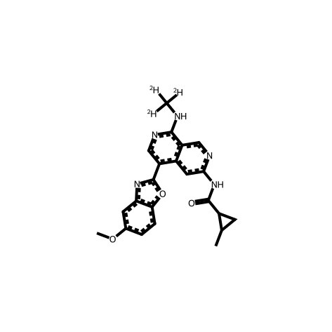 [2H]C([2H])([2H])Nc1ncc(-c2nc3cc(OC)ccc3o2)c2cc(NC(=O)C3CC3C)ncc12